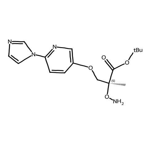 CC(C)(C)OC(=O)[C@](C)(COc1ccc(-n2ccnc2)nc1)ON